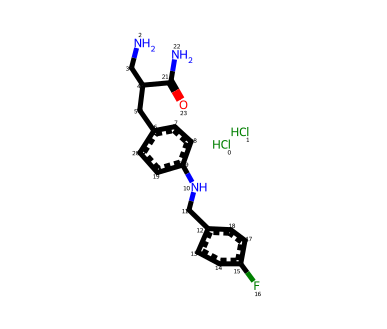 Cl.Cl.NCC(Cc1ccc(NCc2ccc(F)cc2)cc1)C(N)=O